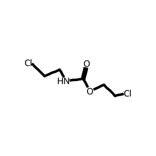 O=C(NCCCl)OCCCl